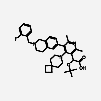 Cc1nc(C)c([C@H](OC(C)(C)C)C(=O)O)c(N2CCC3(CCC3)CC2)c1-c1ccc2c(c1)CCN(Cc1ccccc1F)C2